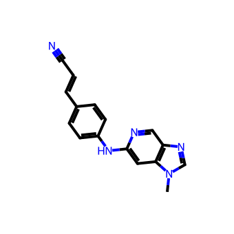 Cn1cnc2cnc(Nc3ccc(C=CC#N)cc3)cc21